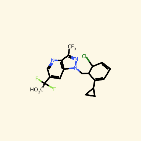 O=C(O)C(F)(F)c1cnc2c(C(F)(F)F)nn(CC3C(C4CC4)=CC=CC3Cl)c2c1